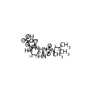 CC(C)CN(C)S(=O)(=O)NC(=N)[C@@H]1CC[C@@H]2CN1C(=O)N2OS(=O)(=O)O